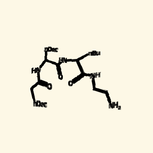 CCCCCCCCCCCC(=O)NC(CCCCCCCCCC)C(=O)NC(CCCC)C(=O)NCCN